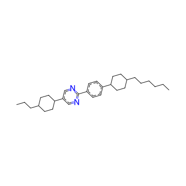 CCCCCCC1CCC(c2ccc(-c3ncc(C4CCC(CCC)CC4)cn3)cc2)CC1